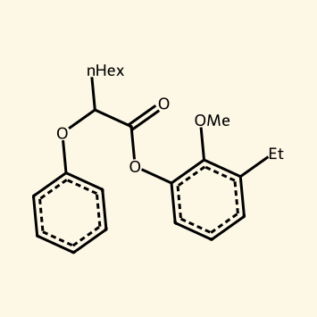 CCCCCCC(Oc1ccccc1)C(=O)Oc1cccc(CC)c1OC